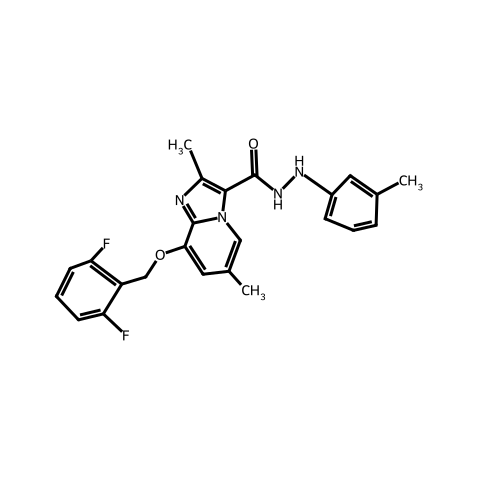 Cc1cccc(NNC(=O)c2c(C)nc3c(OCc4c(F)cccc4F)cc(C)cn23)c1